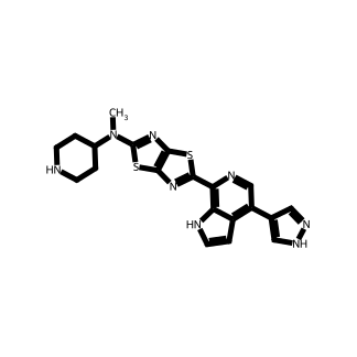 CN(c1nc2sc(-c3ncc(-c4cn[nH]c4)c4cc[nH]c34)nc2s1)C1CCNCC1